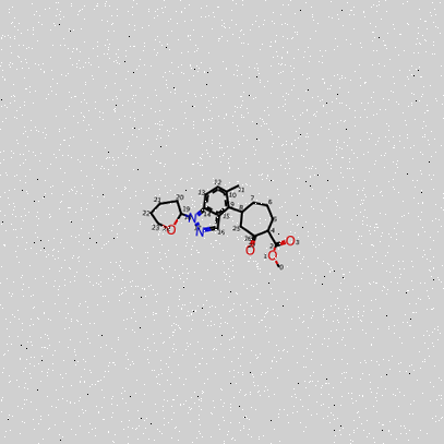 COC(=O)C1CCCC(c2c(C)ccc3c2cnn3C2CCCCO2)CC1=O